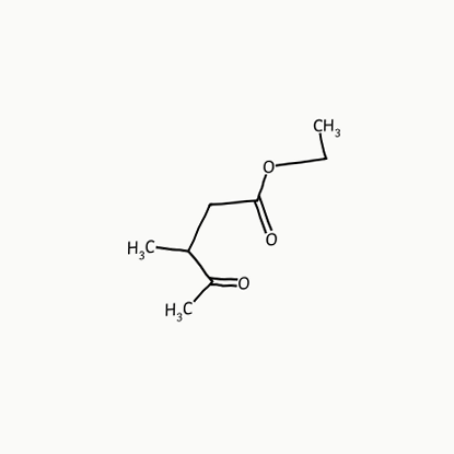 CCOC(=O)CC(C)C(C)=O